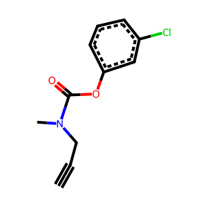 C#CCN(C)C(=O)Oc1cccc(Cl)c1